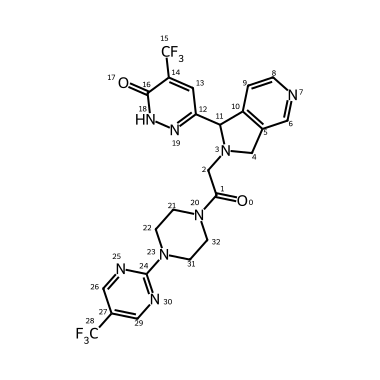 O=C(CN1Cc2cnccc2C1c1cc(C(F)(F)F)c(=O)[nH]n1)N1CCN(c2ncc(C(F)(F)F)cn2)CC1